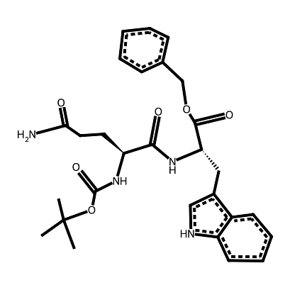 CC(C)(C)OC(=O)N[C@@H](CCC(N)=O)C(=O)N[C@@H](Cc1c[nH]c2ccccc12)C(=O)OCc1ccccc1